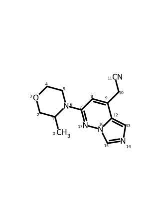 CC1COCCN1c1cc(CC#N)c2cncn2n1